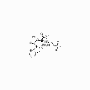 CC(C)[C@H](NC(=O)[C@H](C)NCCS(C)(=O)=O)C(=O)N1c2ncccc2C[C@H]1C(=O)O